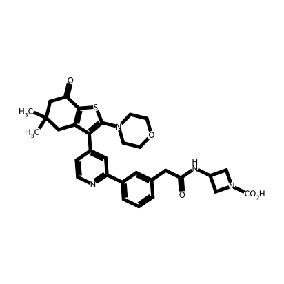 CC1(C)CC(=O)c2sc(N3CCOCC3)c(-c3ccnc(-c4cccc(CC(=O)NC5CN(C(=O)O)C5)c4)c3)c2C1